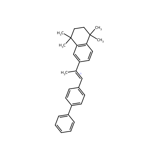 C/C(=C\c1ccc(-c2ccccc2)cc1)c1ccc2c(c1)C(C)(C)CCC2(C)C